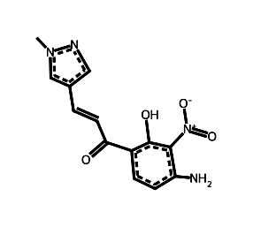 Cn1cc(C=CC(=O)c2ccc(N)c([N+](=O)[O-])c2O)cn1